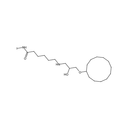 O=C(CCCCCNCC(O)COC1CCCCCCCCCCC1)NI